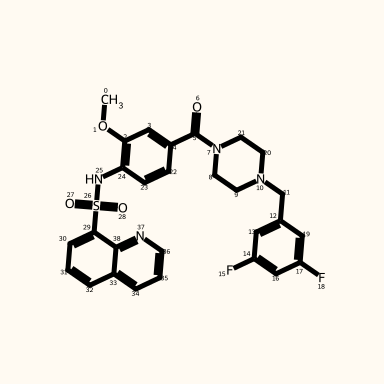 COc1cc(C(=O)N2CCN(Cc3cc(F)cc(F)c3)CC2)ccc1NS(=O)(=O)c1cccc2cccnc12